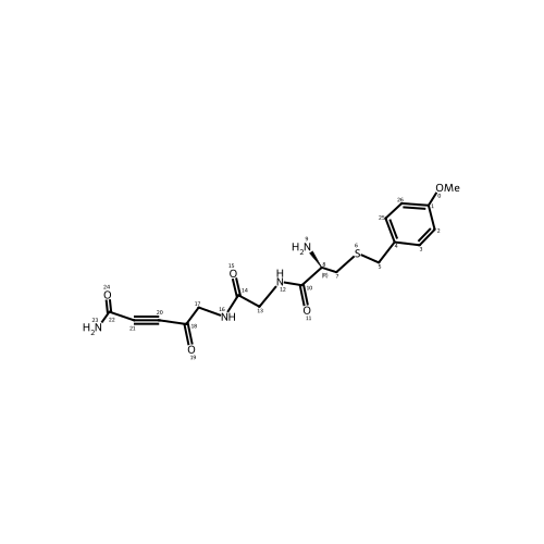 COc1ccc(CSC[C@H](N)C(=O)NCC(=O)NCC(=O)C#CC(N)=O)cc1